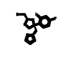 Fc1ccc([C@@]2(Cn3nccn3)CO[C@@H](CBr)O2)c(F)c1